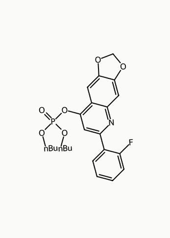 CCCCOP(=O)(OCCCC)Oc1cc(-c2ccccc2F)nc2cc3c(cc12)OCO3